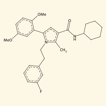 COc1ccc(OC)c(-c2cc(C(=O)NC3CCCCC3)c(C)n2CCc2cccc(F)c2)c1